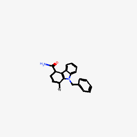 [2H]C1CCC(C(N)=O)c2c1n(Cc1ccccc1)c1ccccc21